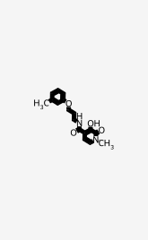 Cc1cccc(OCCCNC(=O)c2ccn(C)c(=O)c2O)c1